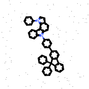 c1ccc(-n2ccc3ccc4c(c5ccccc5n4-c4ccc(-c5ccc6c(c5)C(c5ccccc5)(c5ccccc5)c5ccccc5-6)cc4)c32)cc1